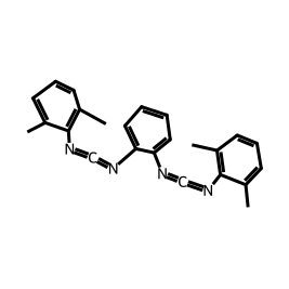 Cc1cccc(C)c1N=C=Nc1ccccc1N=C=Nc1c(C)cccc1C